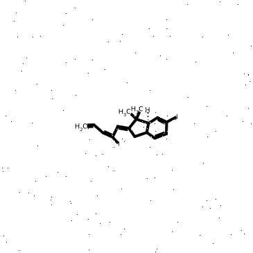 C=C/C=C(I)\C=C1/CC2C=CC(I)=C[C@@H]2C1(C)C